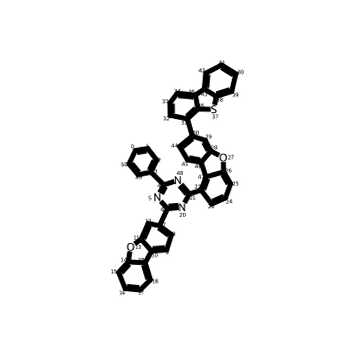 c1ccc(-c2nc(-c3ccc4c(c3)oc3ccccc34)nc(-c3cccc4oc5cc(-c6cccc7c6sc6ccccc67)ccc5c34)n2)cc1